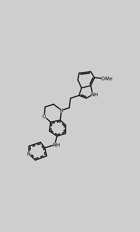 COC1=C2NC=C(CCN3CCOc4cc(Nc5ccncc5)ccc43)C2CC=C1